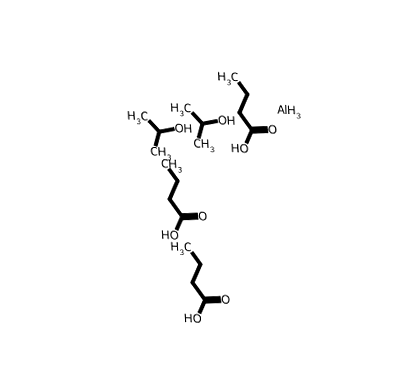 CC(C)O.CC(C)O.CCCC(=O)O.CCCC(=O)O.CCCC(=O)O.[AlH3]